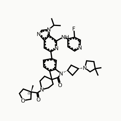 CC(C)n1cnc2cc(-c3ccc4c(c3)N([C@H]3C[C@@H](N5CCC(C)(C)C5)C3)C(=O)C43CCN(C(=O)[C@@]4(C)CCOC4)CC3)nc(Nc3ccncc3F)c21